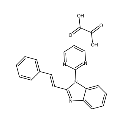 C(=Cc1nc2ccccc2n1-c1ncccn1)c1ccccc1.O=C(O)C(=O)O